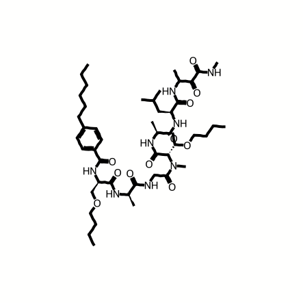 CCCCCCc1ccc(C(=O)N[C@H](COCCCC)C(=O)N[C@H](C)C(=O)NCC(=O)N(C)[C@H](C(=O)N[C@@H](C)C(=O)N[C@@H](CC(C)C)C(=O)NC(C)C(=O)C(=O)NC)C(C)OCCCC)cc1